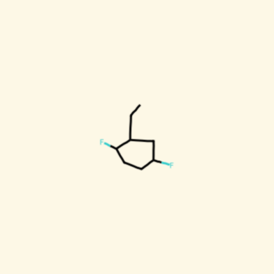 CCC1CC(F)CCC1F